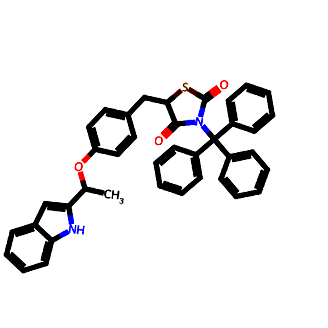 CC(Oc1ccc(CC2SC(=O)N(C(c3ccccc3)(c3ccccc3)c3ccccc3)C2=O)cc1)c1cc2ccccc2[nH]1